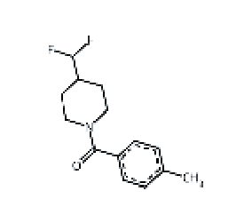 Cc1ccc(C(=O)N2CCC(C(F)F)CC2)cc1